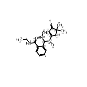 CCNC(=O)c1ccccc1C(NC)[S+]([O-])C1=NC(=S)C(C)(C)N1